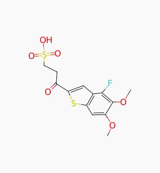 COc1cc2sc(C(=O)CCS(=O)(=O)O)cc2c(F)c1OC